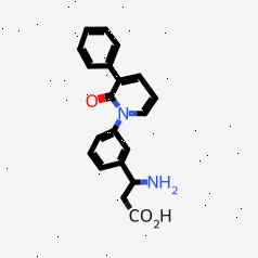 NC(CC(=O)O)c1cccc(-n2cccc(-c3ccccc3)c2=O)c1